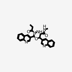 CCC(=O)N(N)C(OC(CC(=O)NC)c1cnc2ccccc2c1)c1cnc2ccccc2c1